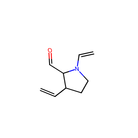 C=CC1CCN(C=C)C1C=O